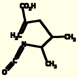 C=C(CC(C)C(C)N=C=O)C(=O)O